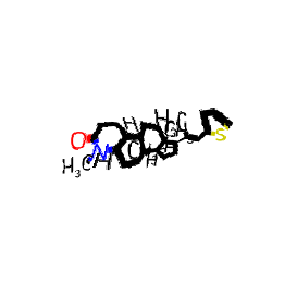 C/C(=C\c1cccs1)[C@H]1CC[C@H]2[C@@H]3CC[C@H]4N(C)C(=O)CC[C@]4(C)[C@H]3CC[C@]12C